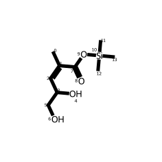 CC(=CC(O)CO)C(=O)O[Si](C)(C)C